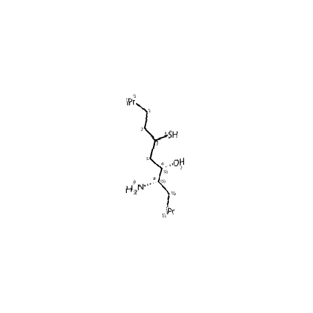 CC(C)CCC(S)C[C@H](O)[C@@H](N)CC(C)C